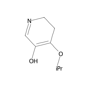 CC(C)OC1=C(O)C=NCC1